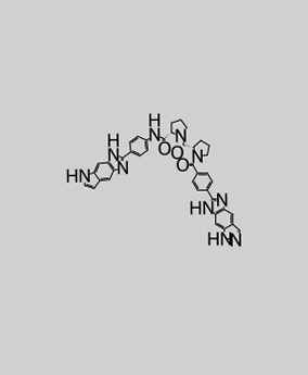 O=C(Nc1ccc(-c2nc3cc4cc[nH]c4cc3[nH]2)cc1)[C@@H]1CCCN1C(=O)[C@@H]1CCCN1C(=O)c1ccc(-c2nc3cc4cn[nH]c4cc3[nH]2)cc1